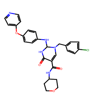 O=C(NC1CCOCC1)C1=CN(Cc2ccc(Cl)cc2)C(Nc2ccc(Oc3ccncc3)cc2)NC1=O